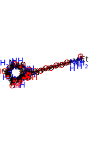 CCC(=O)NC/C(N)=C/NCCOCCOCCOCCOCCOCCOCCOCCSCc1c(O)ccc2c3c([nH]c12)[S+]([O-])C[C@H]1NC(=O)CNC(=O)[C@H]([C@@H](C)CC)NC(=O)CNC(=O)[C@H](C3)NC(=O)[C@H]([C@@H](C)[C@@H](O)CO)NC(=O)[C@@H]2C[C@@H](O)CN2C(=O)[C@H](CC(N)=O)NC1=O